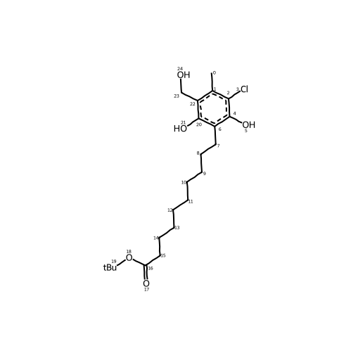 Cc1c(Cl)c(O)c(CCCCCCCCCC(=O)OC(C)(C)C)c(O)c1CO